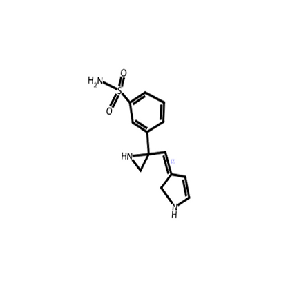 NS(=O)(=O)c1cccc(C2(/C=C3/C=CNC3)CN2)c1